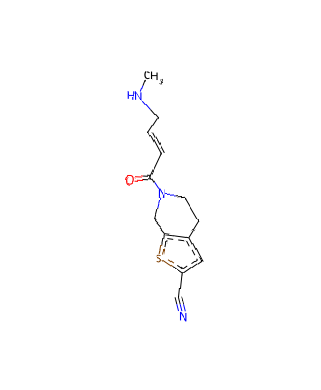 CNC/C=C/C(=O)N1CCc2cc(C#N)sc2C1